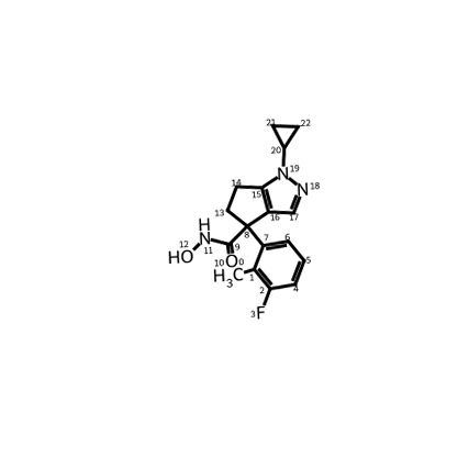 Cc1c(F)cccc1C1(C(=O)NO)CCc2c1cnn2C1CC1